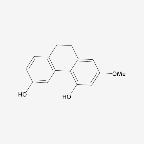 COc1cc(O)c2c(c1)CCc1ccc(O)cc1-2